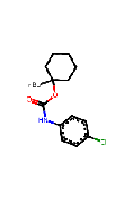 CCCCC1(OC(=O)Nc2ccc(Cl)cc2)CCCCC1